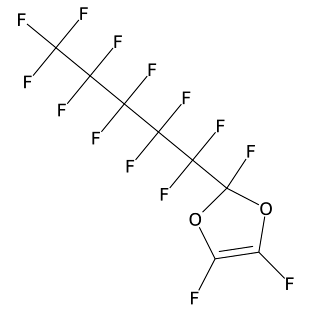 FC1=C(F)OC(F)(C(F)(F)C(F)(F)C(F)(F)C(F)(F)C(F)(F)F)O1